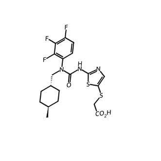 C[C@H]1CC[C@H](CN(C(=O)Nc2ncc(SCC(=O)O)s2)c2ccc(F)c(F)c2F)CC1